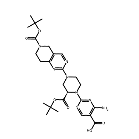 CC(C)(C)OC(=O)[C@H]1CN(c2ncc3c(n2)CCN(C(=O)OC(C)(C)C)C3)CCN1c1ncc(C(=O)O)c(N)n1